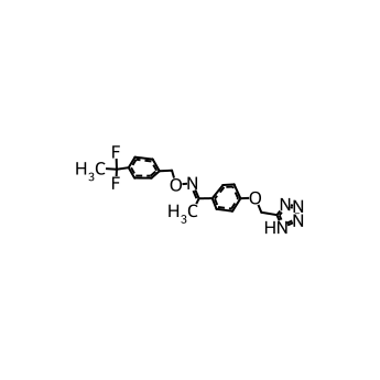 C/C(=N\OCc1ccc(C(C)(F)F)cc1)c1ccc(OCc2nnn[nH]2)cc1